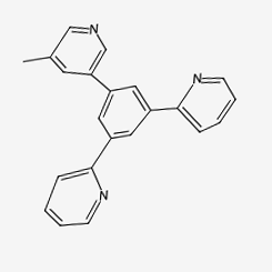 Cc1cncc(-c2cc(-c3ccccn3)cc(-c3ccccn3)c2)c1